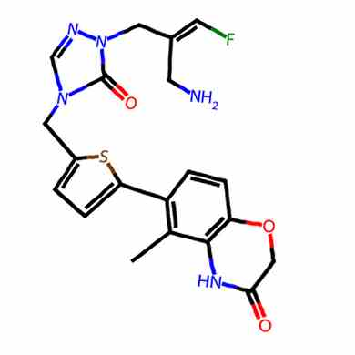 Cc1c(-c2ccc(Cn3cnn(C/C(=C/F)CN)c3=O)s2)ccc2c1NC(=O)CO2